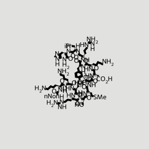 CCCCCCCCCC(=O)N[C@@H](CCCCN)C(=O)N[C@@H](CCCCN)C(=O)N[C@@H](CC(C)C)C(=O)N[C@@H](CCCNC(=N)N)C(=O)N[C@@H](CO)C(=O)N[C@@H](CCSC)C(=O)N[C@H](C(=O)N[C@@H](CC(=O)O)C(=O)N[C@@H](CCCCN)C(=O)N[C@@H](Cc1ccc(O)cc1)C(=O)N[C@@H](CCCNC(=N)N)C(=O)N[C@@H](CC(C)C)C(=O)N[C@@H](Cc1c[nH]cn1)C(N)=O)[C@@H](C)O